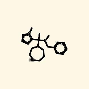 CN(Cc1ccccc1)C(C)(c1cccn1C)C1CCCNCC1